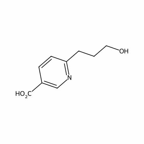 O=C(O)c1ccc(CCCO)nc1